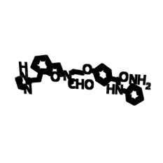 Nc1ccccc1NC(=O)c1ccc(OCCN(C=O)c2cc3cccc(Cc4ncc[nH]4)c3o2)cc1